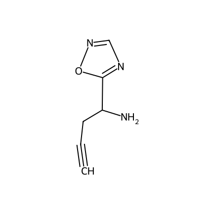 C#CCC(N)c1ncno1